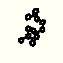 c1ccc(-c2nc(-c3ccccc3)nc(-n3c4ccccc4c4ccc5c(c6ccccc6n5-c5cccc(-c6cccc(-c7ccc8c(c7)c7ccccc7n8-c7ccccc7)n6)c5)c43)n2)cc1